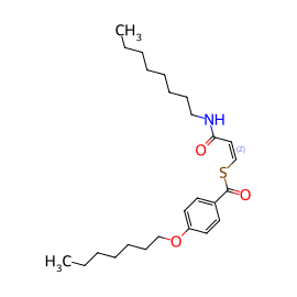 CCCCCCCCNC(=O)/C=C\SC(=O)c1ccc(OCCCCCCC)cc1